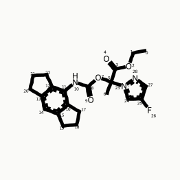 CCOC(=O)C(C)(OC(=O)Nc1c2c(cc3c1CCC3)CCC2)n1cc(F)cn1